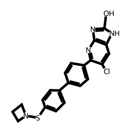 Oc1nc2nc(-c3ccc(-c4ccc(SN5CCC5)cc4)cc3)c(Cl)cc2[nH]1